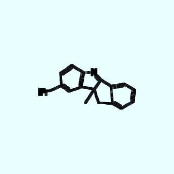 CC(C)c1ccc2c(c1)C1(C)Cc3ccccc3C1=N2